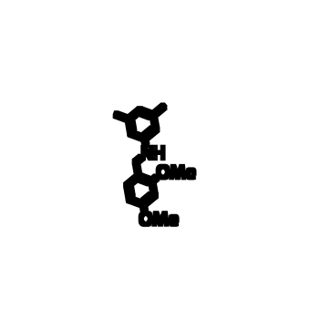 COc1ccc(CNc2cc(C)cc(C)c2)c(OC)c1